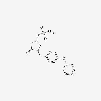 CS(=O)(=O)O[C@H]1CC(=O)N(Cc2ccc(Oc3ccccc3)cc2)C1